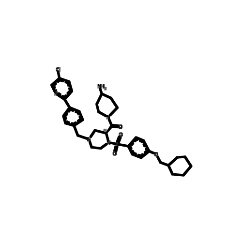 NC1CCN(C(=O)[C@@H]2CN(Cc3ccc(-c4ccc(Cl)cn4)cc3)CCN2S(=O)(=O)c2ccc(OCC3CCCCC3)cc2)CC1